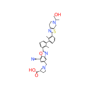 Cc1c(-c2nc3cc(CN4CC[C@@H](C(=O)O)C4)cc(C#N)c3o2)cccc1-c1cccc(-c2nc3c(s2)CN(C(C)CO)CC3)c1C